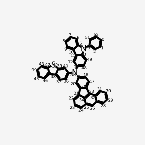 c1ccc(-n2c3ccccc3c3cc(N(c4ccc5c(c4)-c4cccc6cc7ccccc7c-5c46)c4ccc5c(c4)sc4ccccc45)ccc32)cc1